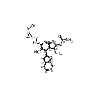 N#Cc1c(NC[C@@H]2C[C@H]2CO)nc2sc(OC(N)=O)c(N)c2c1-c1cc2ccccc2o1